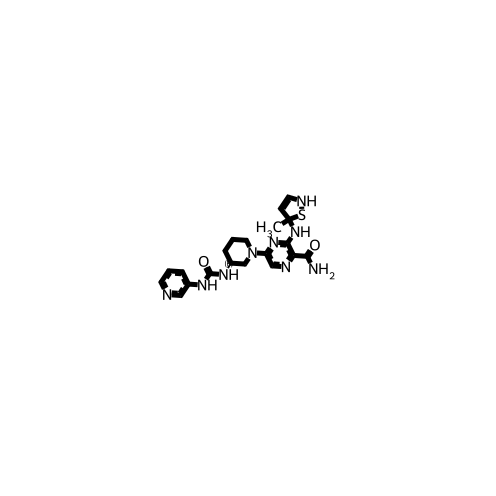 CC1(Nc2nc(N3CCC[C@@H](NC(=O)Nc4cccnc4)C3)cnc2C(N)=O)C=CNS1